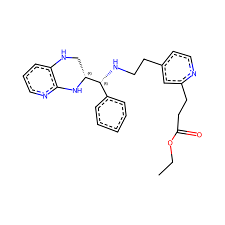 CCOC(=O)CCc1cc(CCN[C@H](c2ccccc2)[C@H]2CNc3cccnc3N2)ccn1